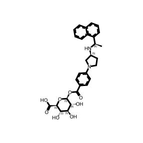 C[C@@H](N[C@H]1CCN(c2ccc(C(=O)O[C@@H]3O[C@H](C(=O)O)[C@@H](O)[C@H](O)[C@H]3O)cc2)C1)c1cccc2ccccc12